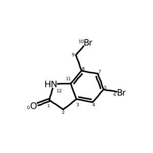 O=C1Cc2cc(Br)cc(CBr)c2N1